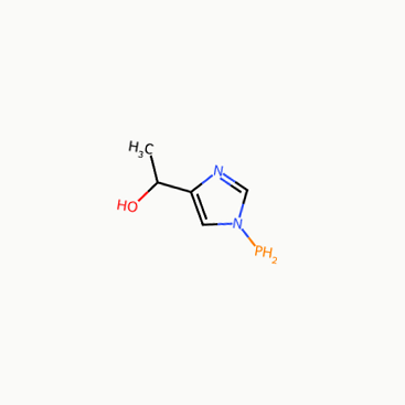 CC(O)c1cn(P)cn1